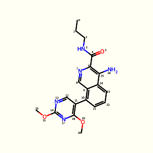 CCCNC(=O)c1ncc2c(-c3cnc(OC)nc3OC)cccc2c1N